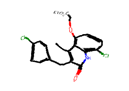 CCOC(=O)COc1ccc(Cl)c2[nH]c(=O)c(Cc3ccc(Cl)cc3)c(C)c12